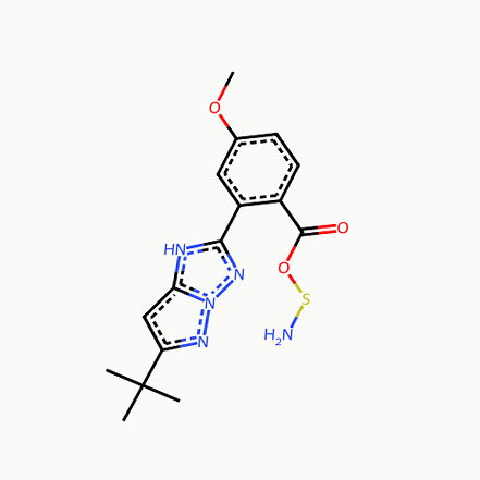 COc1ccc(C(=O)OSN)c(-c2nn3nc(C(C)(C)C)cc3[nH]2)c1